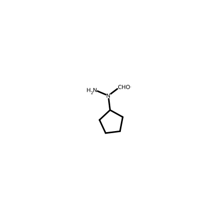 NN([C]=O)C1CCCC1